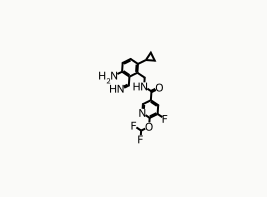 N=Cc1c(N)ccc(C2CC2)c1CNC(=O)c1cnc(OC(F)F)c(F)c1